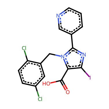 O=C(O)c1c(I)nc(-c2cccnc2)n1Cc1cc(Cl)ccc1Cl